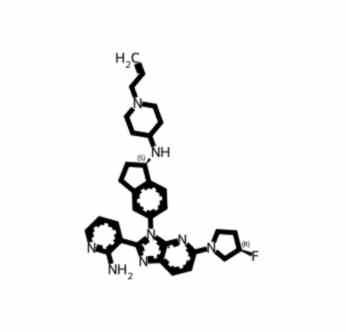 C=CCN1CCC(N[C@H]2CCc3cc(-n4c(-c5cccnc5N)nc5ccc(N6CC[C@@H](F)C6)nc54)ccc32)CC1